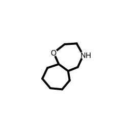 C1CCC2CNCCOC2CC1